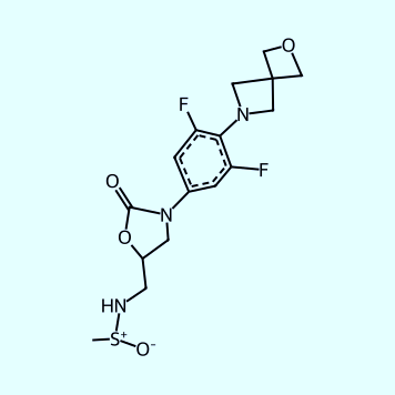 C[S+]([O-])NCC1CN(c2cc(F)c(N3CC4(COC4)C3)c(F)c2)C(=O)O1